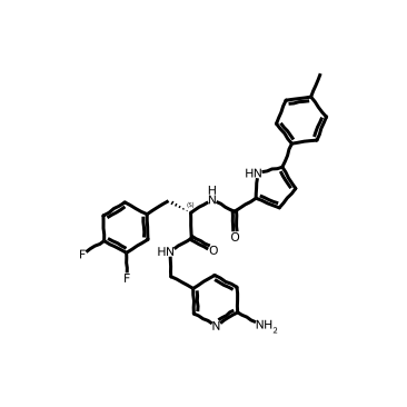 Cc1ccc(-c2ccc(C(=O)N[C@@H](Cc3ccc(F)c(F)c3)C(=O)NCc3ccc(N)nc3)[nH]2)cc1